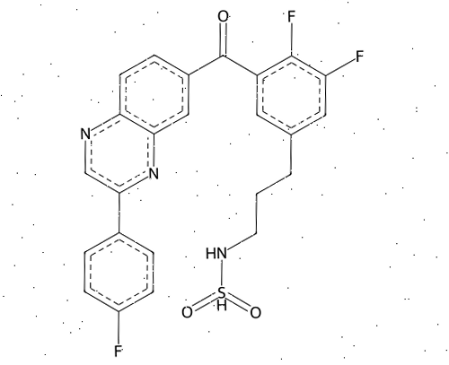 O=C(c1ccc2ncc(-c3ccc(F)cc3)nc2c1)c1cc(CCCN[SH](=O)=O)cc(F)c1F